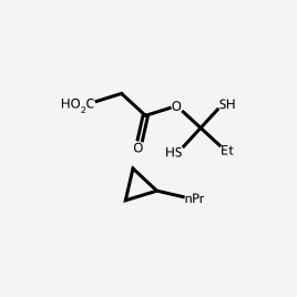 CCC(S)(S)OC(=O)CC(=O)O.CCCC1CC1